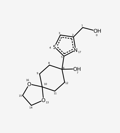 OCc1csc(C2(O)CCC3(CC2)OCCO3)n1